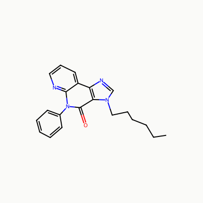 CCCCCCn1cnc2c3cccnc3n(-c3ccccc3)c(=O)c21